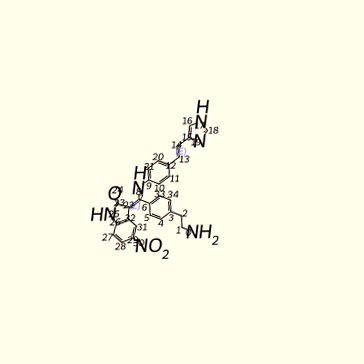 NCCc1ccc(/C(Nc2ccc(/C=C/c3c[nH]cn3)cc2)=C2/C(=O)Nc3ccc([N+](=O)[O-])cc32)cc1